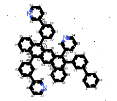 c1ccc(-c2cccc(-c3c(-c4cccnc4)c4cc5c(-c6cccc(-c7cccnc7)c6)c6ccccc6c(-c6cccc(-c7cccnc7)c6)c5cc4c4ccccc34)c2)cc1